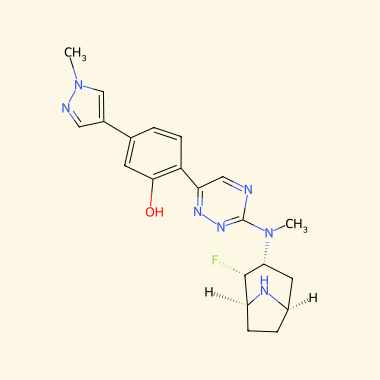 CN(c1ncc(-c2ccc(-c3cnn(C)c3)cc2O)nn1)[C@@H]1C[C@H]2CC[C@H](N2)[C@@H]1F